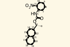 C[C@@H](OC(=O)Nc1ccccc1[N+](=O)[O-])c1ccc2ccccc2c1